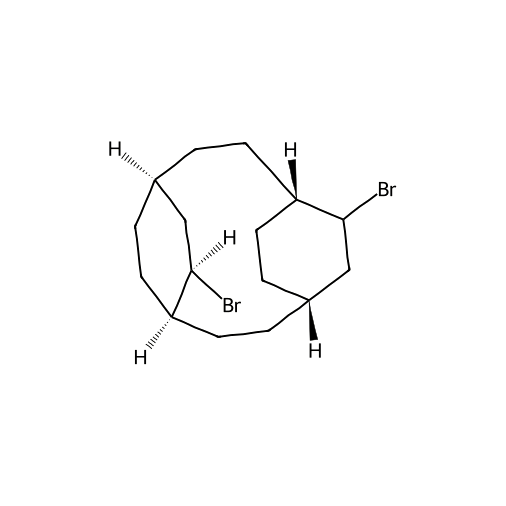 BrC1C[C@H]2CC[C@@H]1CC[C@@H]1CC[C@H](CC2)[C@H](Br)C1